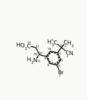 CC(C)(C#N)c1cc(Br)cc([C@@H](N)CC(=O)O)c1